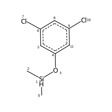 C[SiH](C)Oc1cc(Cl)cc(Cl)c1